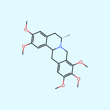 COc1cc2c(cc1OC)C1Cc3cc(OC)c(OC)c(OC)c3CN1[C@@H](C)C2